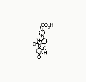 Cn1c(=O)n([C@@H]2CCC(=O)NC2=O)c2cccc(N3CCN(CC(=O)O)CC3)c21